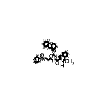 C[C@@H](NC(=O)C(=O)[C@H](CCCCNC(=O)N1CCOCC1)NC(=O)OCC1(Cc2ccccc2)CCCCC1)c1ccccc1